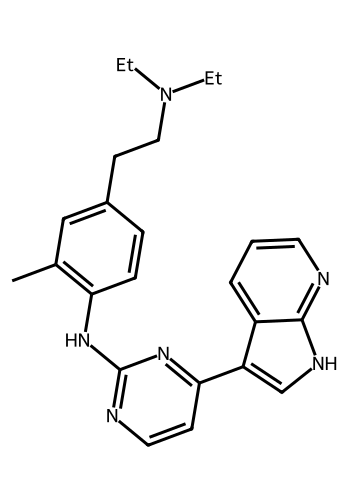 CCN(CC)CCc1ccc(Nc2nccc(-c3c[nH]c4ncccc34)n2)c(C)c1